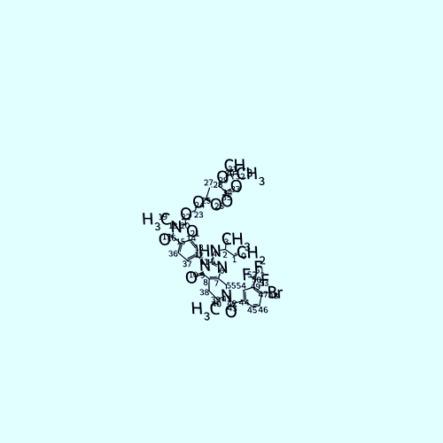 C=CC(C)Nc1nc2c(c(=O)n1-c1ccc(C(=O)N(C)C(=O)OCOC(=O)C[C@@H]3OC(C)(C)OC3=O)cc1)C[C@@H](C)N(C(=O)c1ccc(Br)c(C(F)(F)F)c1)C2